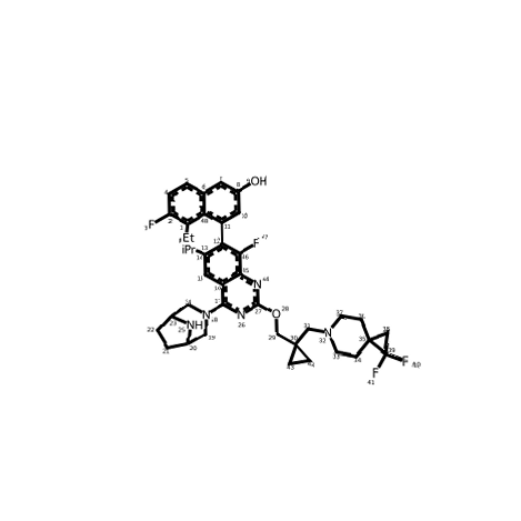 CCc1c(F)ccc2cc(O)cc(-c3c(C(C)C)cc4c(N5CC6CCC(C5)N6)nc(OCC5(CN6CCC7(CC6)CC7(F)F)CC5)nc4c3F)c12